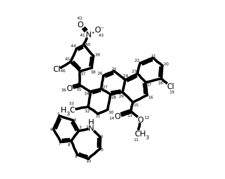 C1=CNc2ccccc2C=C1.COC(=O)C1C=c2c(Cl)cccc2=c2ccc3c(c21)CCC(C)C=3C(=O)c1ccc([N+](=O)[O-])cc1Cl